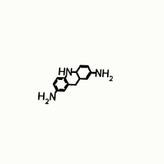 NC1=CC2Cc3cc(N)ccc3NC2C=C1